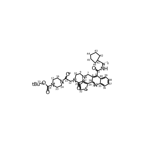 C[C@H](NC(=O)c1c(CN2CCN(CC(=O)N3CCN(C(=O)OC(C)(C)C)CC3)C(=O)C2)c(-c2cccs2)nc2ccccc12)C1CCCCC1